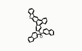 O=P(c1ccc2ccccc2c1)(c1ccc2ccccc2c1)c1ccc2c(c1)c1ccccc1c1cc3c(cc21)sc1ccccc13